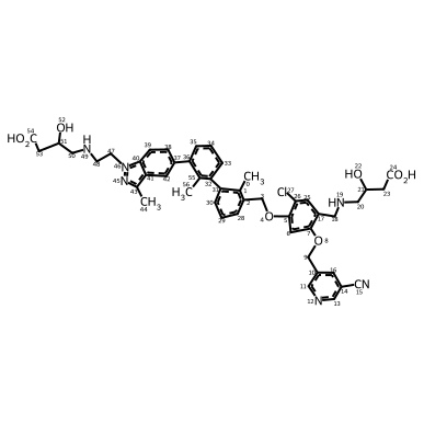 Cc1c(COc2cc(OCc3cncc(C#N)c3)c(CNCC(O)CC(=O)O)cc2Cl)cccc1-c1cccc(-c2ccc3c(c2)c(C)nn3CCNCC(O)CC(=O)O)c1C